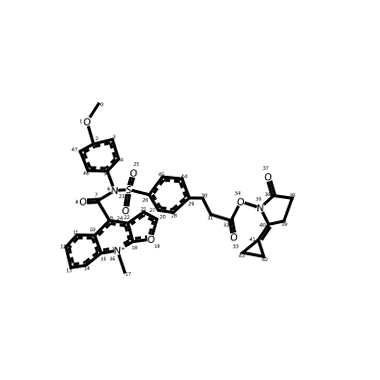 COc1ccc(N(C(=O)c2c3ccccc3[n+](C)c3occc23)S(=O)(=O)c2ccc(CCC(=O)ON3C(=O)CCC3=C3CC3)cc2)cc1